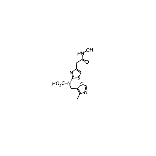 Cc1ncsc1CN(C(=O)O)c1nc(CC(=O)NO)cs1